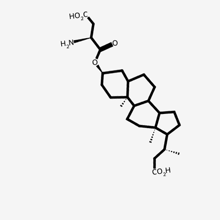 C[C@H](CC(=O)O)C1CCC2C3CCC4C[C@H](OC(=O)[C@@H](N)CC(=O)O)CC[C@]4(C)C3CC[C@@]21C